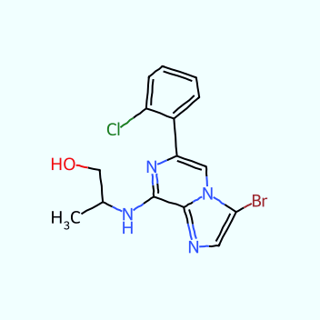 CC(CO)Nc1nc(-c2ccccc2Cl)cn2c(Br)cnc12